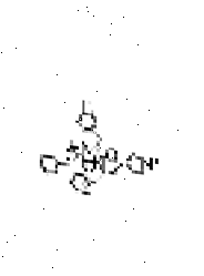 C[n+]1ccc(/C=C/[C@H](Cc2ccccc2)NC(=O)[C@H](Cc2ccccc2)NC(=O)OCc2ccccc2)cc1.[I-]